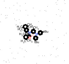 Cc1cc2c3c(c1)N(c1cc4c(cc1C)C(C)(C)CCC4(C)C)c1c(oc4c1C(C)(C)CCC4(C)C)B3c1cc(C(C)(C)C)ccc1N2c1ccc(C(C)(C)C)cc1